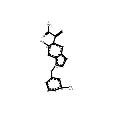 C=C(C(N)=O)c1cc2ccn(Cc3cccc(C(F)(F)F)c3)c2cc1F